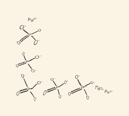 O=P([O-])([O-])[O-].O=P([O-])([O-])[O-].O=P([O-])([O-])[O-].O=P([O-])([O-])[O-].O=P([O-])([O-])[O-].[Pa+5].[Pa+5].[Pa+5]